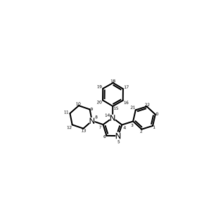 c1ccc(-c2ncc(N3CCCCC3)n2-c2ccccc2)cc1